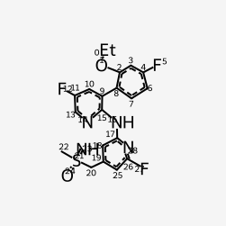 CCOc1cc(F)ccc1-c1cc(F)cnc1Nc1cc(CS(C)(=N)=O)cc(F)n1